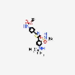 CC(C)OC(=O)Nc1ccc(-c2ncc(-c3ccc(NC(C)C(F)(F)F)cc3S(=O)(=O)NC(C)(C)C)s2)cc1